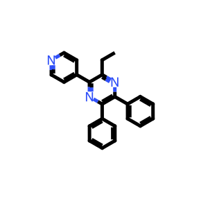 CCc1nc(-c2ccccc2)c(-c2ccccc2)nc1-c1ccncc1